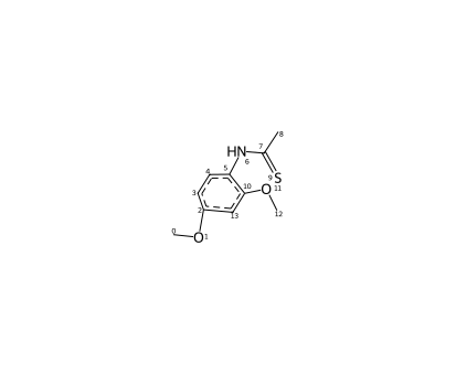 COc1ccc(NC(C)=S)c(OC)c1